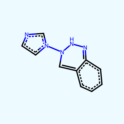 C1=c2ccccc2=NNN1n1ccnc1